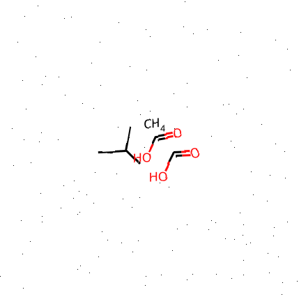 C.CC(C)C.O=CO.O=CO